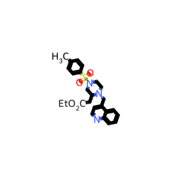 CCOC(=O)CC1CN(S(=O)(=O)c2ccc(C)cc2)CCN1Cc1ccnc2ccccc12